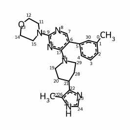 Cc1cccc(-c2cnc(N3CCOCC3)nc2N2CCC(c3nc[nH]c3C)CC2)c1